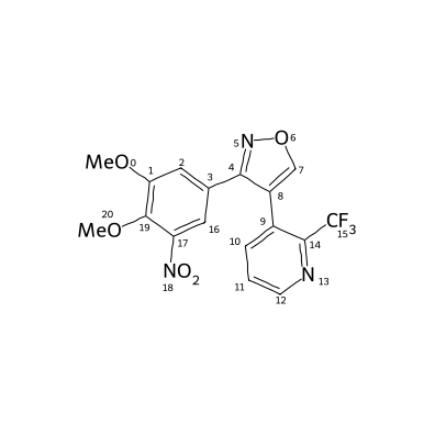 COc1cc(-c2nocc2-c2cccnc2C(F)(F)F)cc([N+](=O)[O-])c1OC